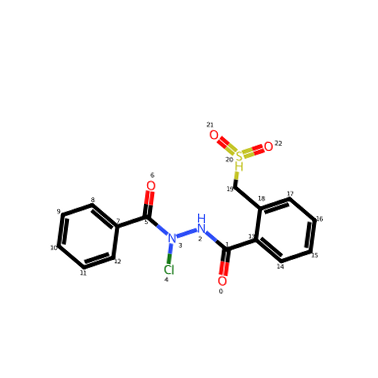 O=C(NN(Cl)C(=O)c1ccccc1)c1ccccc1C[SH](=O)=O